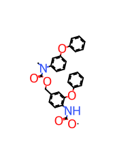 CN(C(=O)OCc1ccc(NC([O])=O)c(Oc2ccccc2)c1)c1cccc(Oc2ccccc2)c1